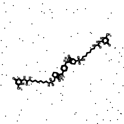 Cc1cc(=O)nc(NC(=O)NCCCCCCNS(=O)(=O)CC23CCC(/C(=C\c4ccc(/C=C5/C(=O)C6C(S(=O)(=O)NCCCCCCNC(=O)Nc7nc(=O)cc(C)[nH]7)CC5C6(C)C)cc4)C2=O)C3(C)C)[nH]1